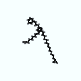 CCCCCCCCCCCCCCCCc1nc(CCCc2ccccc2)cn1CCCCCCCC